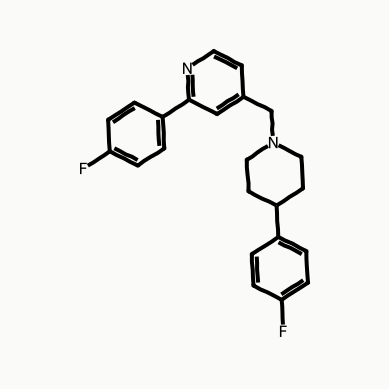 Fc1ccc(-c2cc(CN3CCC(c4ccc(F)cc4)CC3)ccn2)cc1